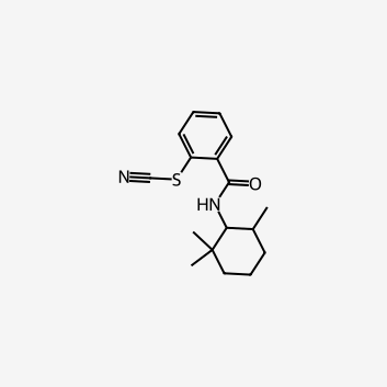 CC1CCCC(C)(C)C1NC(=O)c1ccccc1SC#N